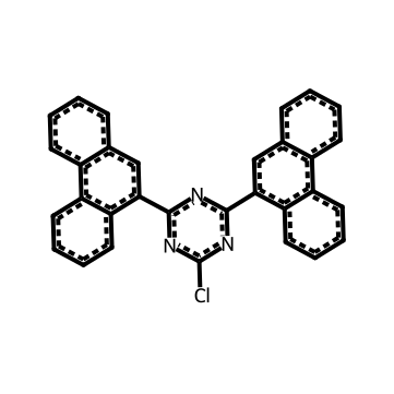 Clc1nc(-c2cc3ccccc3c3ccccc23)nc(-c2cc3ccccc3c3ccccc23)n1